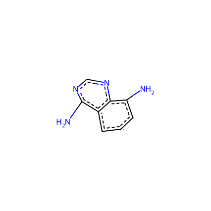 Nc1ncnc2c(N)c[c]cc12